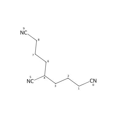 N#CCCCC(C#N)CCCC#N